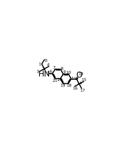 CCC(C)(C)Nc1ccc2cc(C(=O)C(C)(C)C)ccc2c1